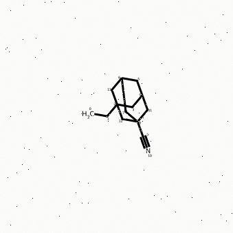 [CH2]CC12CC3CC(CC(C#N)(C3)C1)C2